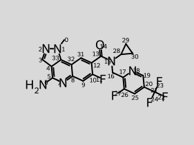 Cn1ncc2c(N)nc3cc(F)c(C(=O)N(Cc4ncc(C(F)(F)F)cc4F)C4CC4)cc3c21